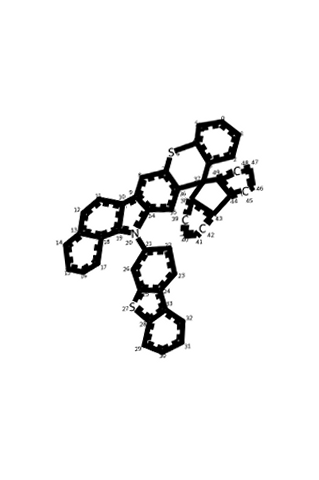 c1ccc2c(c1)Sc1cc3c4ccc5ccccc5c4n(-c4ccc5c(c4)sc4ccccc45)c3cc1C21c2ccccc2-c2ccccc21